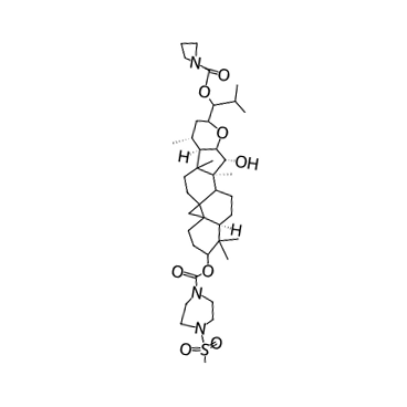 CC(C)C(OC(=O)N1CCC1)C1C[C@@H](C)[C@H]2C(O1)[C@H](O)[C@@]1(C)C3CC[C@H]4C(C)(C)C(OC(=O)N5CCN(S(C)(=O)=O)CC5)CCC45CC35CCC21C